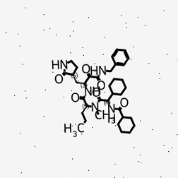 CCC[C@@H](C(=O)N[C@@H](C[C@@H]1CCNC1=O)C(=O)C(=O)NCc1ccccc1)N(C)C(=O)[C@H](NC(=O)C1CCCCC1)C1CCCCC1